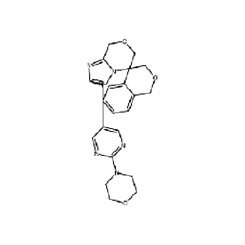 c1ccc2c(c1)COCC21COCc2nc3ccc(-c4cnc(N5CCOCC5)nc4)nc3n21